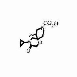 O=C(O)N1CCC2(CN(C3CC3)C(=O)CO2)C(F)C1